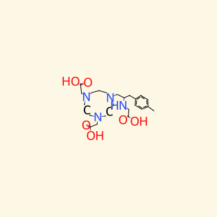 Cc1ccc(CC(CN2CCCN(CC(=O)O)CCCN(CC(=O)O)CCC2)NCC(=O)O)cc1